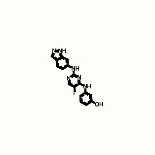 Oc1cccc(Nc2nc(Nc3ccc4cn[nH]c4c3)ncc2F)c1